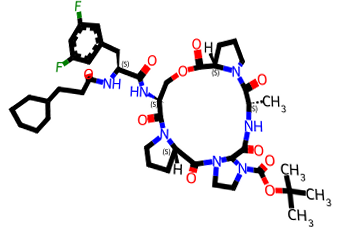 C[C@@H]1NC(=O)C2N(C(=O)OC(C)(C)C)CCN2C(=O)[C@@H]2CCCN2C(=O)[C@@H](NC(=O)[C@H](Cc2cc(F)cc(F)c2)NC(=O)CCC2CCCCC2)COC(=O)[C@@H]2CCCN2C1=O